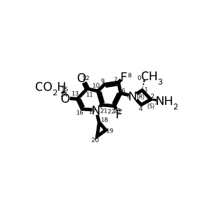 C[C@@H]1[C@@H](N)CN1c1c(F)cc2c(=O)c(OC(=O)O)cn(C3CC3)c2c1F